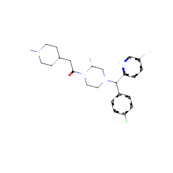 CC(=O)N1CCC(CC(=O)N2CCN(C(c3ccc(Cl)cc3)c3ccc(Br)cn3)C[C@@H]2C(C)(C)C)CC1